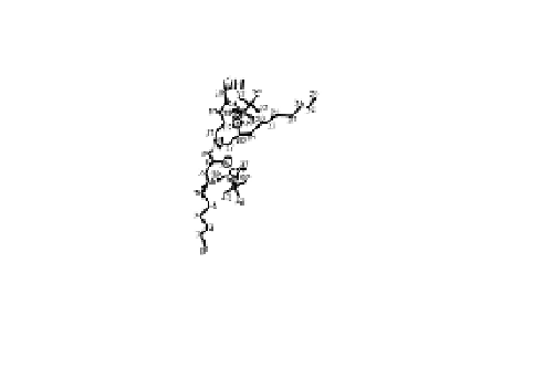 CCCCCCCCC(CN(CCCCCO)CC(CCCCCCCC)O[Si](C)(C)C(C)(C)C)O[Si](C)(C)C(C)(C)C